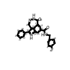 O=C(NCc1ccc(F)cc1)c1cc2c3c(c(-c4ccccc4)[nH]c3c1)C=NNC2=O